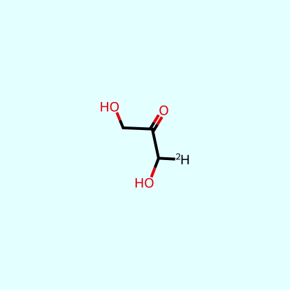 [2H]C(O)C(=O)CO